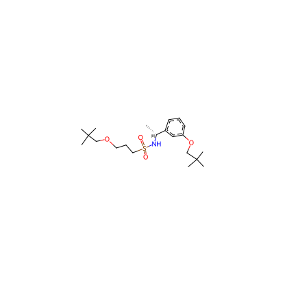 C[C@@H](NS(=O)(=O)CCCOCC(C)(C)C)c1cccc(OCC(C)(C)C)c1